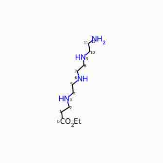 CCOC(=O)CCNCCNCCNCCN